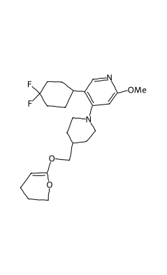 COc1cc(N2CCC(COC3=CCCCO3)CC2)c(C2CCC(F)(F)CC2)cn1